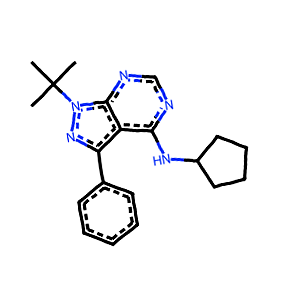 CC(C)(C)n1nc(-c2ccccc2)c2c(NC3CCCC3)ncnc21